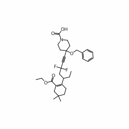 CCOC(=O)C1=C(C(CC)CC(F)(F)C#CC2(OCc3ccccc3)CCN(C(=O)O)CC2)CCC(C)(C)C1